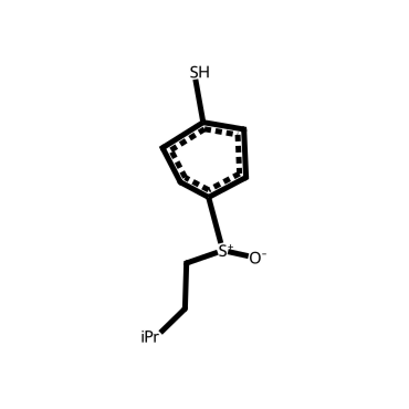 CC(C)CC[S+]([O-])c1ccc(S)cc1